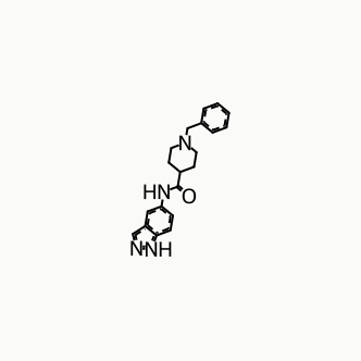 O=C(Nc1ccc2[nH]ncc2c1)C1CCN(Cc2ccccc2)CC1